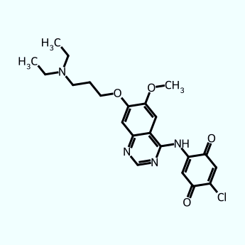 CCN(CC)CCCOc1cc2ncnc(NC3=CC(=O)C(Cl)=CC3=O)c2cc1OC